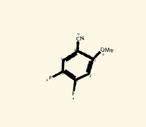 COc1cc(F)c(F)cc1C#N